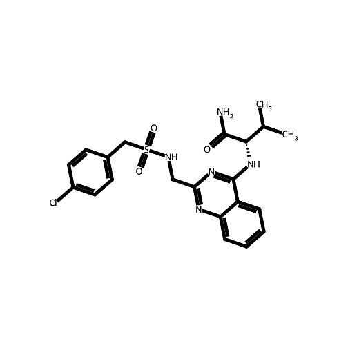 CC(C)[C@H](Nc1nc(CNS(=O)(=O)Cc2ccc(Cl)cc2)nc2ccccc12)C(N)=O